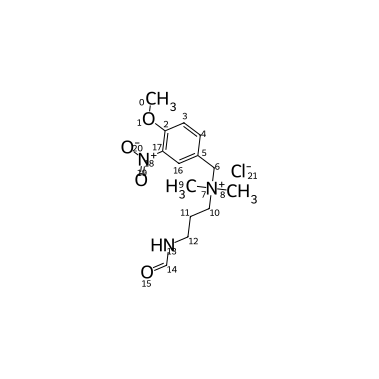 COc1ccc(C[N+](C)(C)CCCNC=O)cc1[N+](=O)[O-].[Cl-]